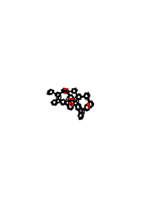 c1ccc(-c2cccc(-c3cc(-c4cccc(-c5ccccc5-c5cccc(-n6c7ccccc7c7cc8c9ccccc9n(-c9cc(-c%10ccccc%10)cc(-c%10ccccc%10)c9)c8cc76)c5)c4)cc(-n4c5ccccc5c5cc6c7ccccc7n(-c7ccccc7)c6cc54)c3)c2)cc1